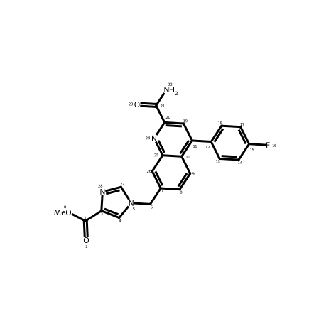 COC(=O)c1cn(Cc2ccc3c(-c4ccc(F)cc4)cc(C(N)=O)nc3c2)cn1